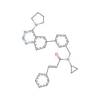 O=C(C=Cc1ccccc1)N(Cc1cccc(-c2ccc3ncnc(N4CCCC4)c3c2)c1)C1CC1